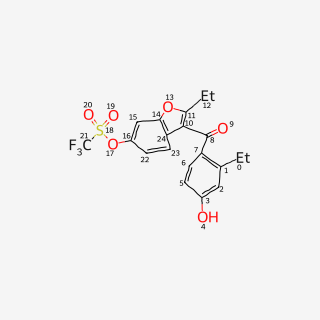 CCc1cc(O)ccc1C(=O)c1c(CC)oc2cc(OS(=O)(=O)C(F)(F)F)ccc12